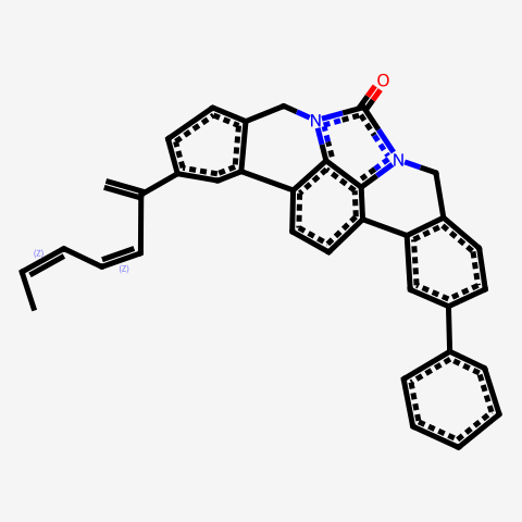 C=C(/C=C\C=C/C)c1ccc2c(c1)-c1ccc3c4c1n(c(=O)n4Cc1ccc(-c4ccccc4)cc1-3)C2